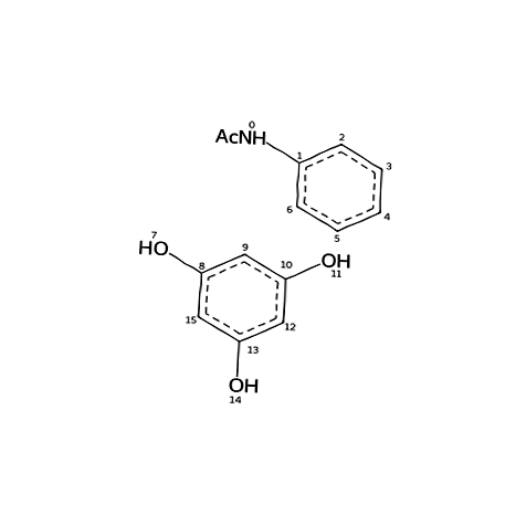 CC(=O)Nc1ccccc1.Oc1cc(O)cc(O)c1